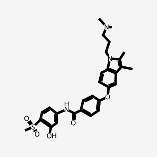 Cc1c(C)n(CCCN(C)C)c2ccc(Oc3ccc(C(=O)Nc4ccc(S(C)(=O)=O)c(O)c4)cc3)cc12